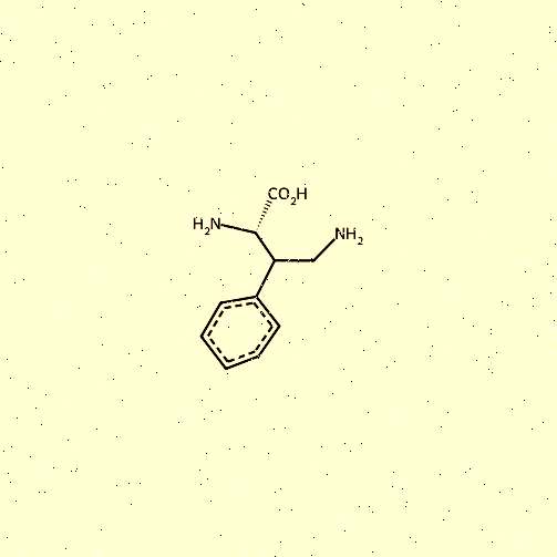 NCC(c1ccccc1)[C@H](N)C(=O)O